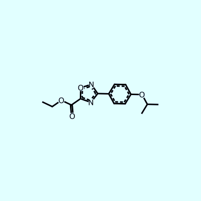 CCOC(=O)c1nc(-c2ccc(OC(C)C)cc2)no1